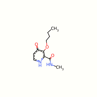 CCCCOc1c(C(=O)NC)[nH]ccc1=O